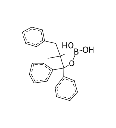 CC(C)(Cc1ccccc1)C(OB(O)O)(c1ccccc1)c1ccccc1